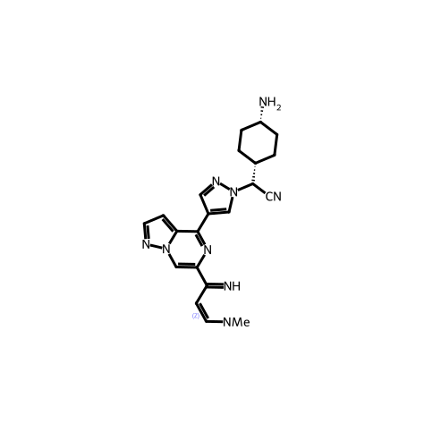 CN/C=C\C(=N)c1cn2nccc2c(-c2cnn(C(C#N)[C@H]3CC[C@@H](N)CC3)c2)n1